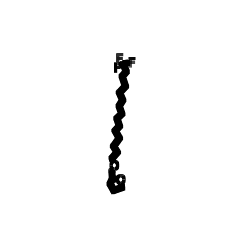 FC(F)(F)CCCCCCCCCCCCCCOCC1CCCO1